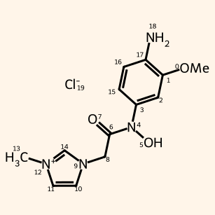 COc1cc(N(O)C(=O)Cn2cc[n+](C)c2)ccc1N.[Cl-]